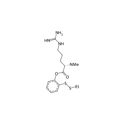 CCSSc1ccccc1OC(=O)[C@H](CCCNC(=N)N)NC